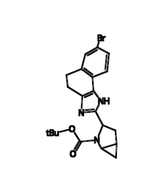 CC(C)(C)OC(=O)N1C(c2nc3c([nH]2)-c2ccc(Br)cc2CC3)CC2CC21